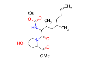 C=CCCC(C)C[C@@H](C)C(NC(=O)OC(C)(C)C)C(=O)N1CC(O)CC1C(=O)OC